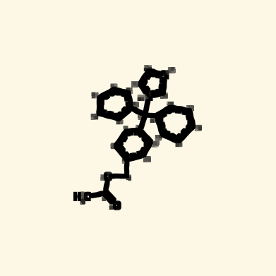 CC(=O)OCc1ccc(C(c2ccccc2)(c2ccccc2)n2ccnc2)cc1